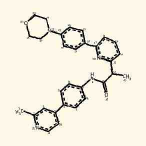 Cc1cc(-c2ccc(NC(=O)C(C)c3cccc(-c4ccc(N5CCOCC5)cc4)n3)cc2)ccn1